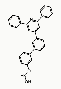 OBOc1cccc(-c2cccc(-c3cc(-c4ccccc4)nc(-c4ccccc4)c3)c2)c1